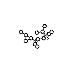 c1ccc(-c2cc(-c3ccccc3)cc(N3c4cc(-c5ccc6c(c5)c5c7ccccc7ccc5n6-c5ccc6c7ccc(-c8ccccc8)cc7c7ccccc7c6c5)ccc4Sc4cc5ccccc5cc43)c2)cc1